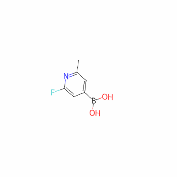 Cc1cc(B(O)O)cc(F)n1